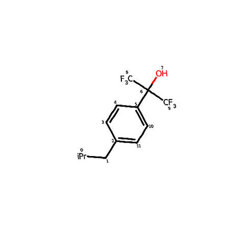 CC(C)Cc1ccc(C(O)(C(F)(F)F)C(F)(F)F)cc1